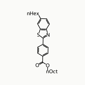 CCCCCCCCOC(=O)c1ccc(-c2nc3ccc(CCCCCC)cc3s2)cc1